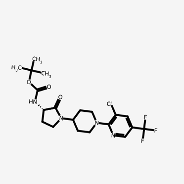 CC(C)(C)OC(=O)N[C@H]1CCN(C2CCN(c3ncc(C(F)(F)F)cc3Cl)CC2)C1=O